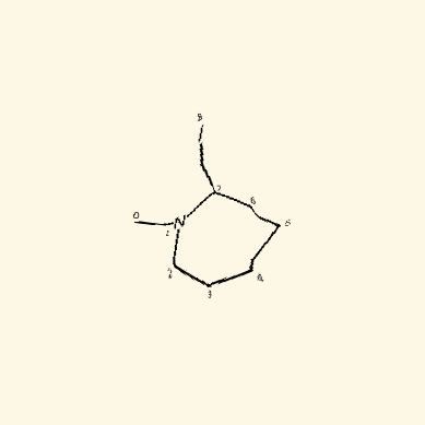 CN1CCCCCC1I